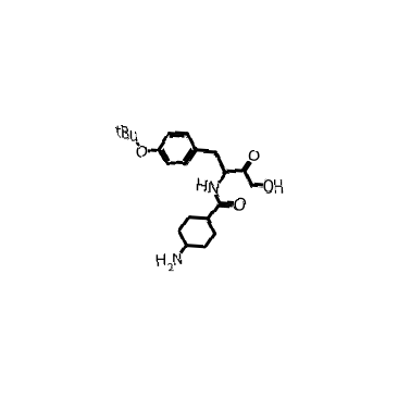 CC(C)(C)Oc1ccc(CC(NC(=O)C2CCC(N)CC2)C(=O)CO)cc1